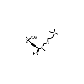 CN(COCC[Si](C)(C)C)C(=N)C#C[Si](C)(C)C(C)(C)C